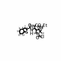 CCOC(=O)N/C(NC(=O)c1cc2ccccc2s1)=C1/CN(C(=O)Cl)C(C)(C)C1=N